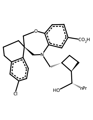 CCC[C@H](O)[C@@H]1CC[C@H]1CN1C[C@@]2(CCCc3cc(Cl)ccc32)COc2ccc(C(=O)O)cc21